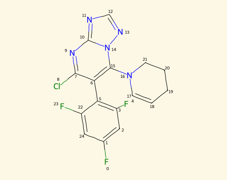 Fc1cc(F)c(-c2c(Cl)nc3ncnn3c2N2C=CCCC2)c(F)c1